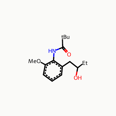 CCC(O)Cc1cccc(OC)c1NC(=O)C(C)(C)C